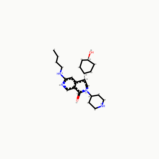 CCCCNc1cc2c(cn1)c(=O)n(C1CCNCC1)cc2[C@H]1CC[C@H](O)CC1